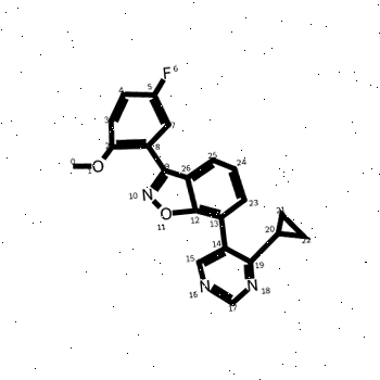 COc1ccc(F)cc1-c1noc2c(-c3cncnc3C3CC3)cccc12